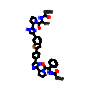 COC(=O)NC(C(=O)N1CCCC1c1ncc(-c2ccc(-c3cc4ccc(-c5c[nH]c(C6CCCN6C(=O)C(NC(=O)OC)C(C)C)n5)cc4s3)cc2)[nH]1)c1ccccc1